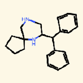 c1ccc(C(c2ccccc2)C2CNCC3(CCCC3)N2)cc1